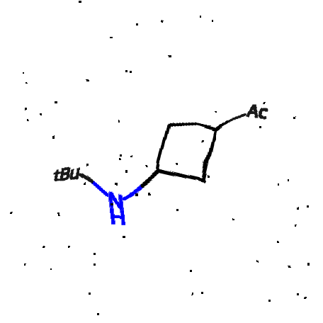 CC(=O)C1CC(NC(C)(C)C)C1